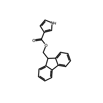 O=C(OCC1c2ccccc2-c2ccccc21)c1cc[nH]c1